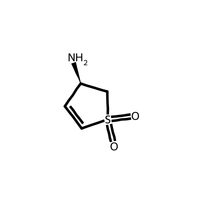 N[C@@H]1C=CS(=O)(=O)C1